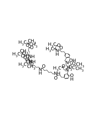 CC(=O)CN(CCN(CC(=O)OC(C)(C)C)Cc1cc(CCC(=O)N[C@@H](C)C(C)=O)ccc1O)Cc1cc(CCC(=O)NCCCCCC(=O)NCCCC[C@H](NC(=O)N[C@@H](CCC(=O)OC(C)(C)C)C(=O)OC(C)(C)C)C(C)(C)C)ccc1O